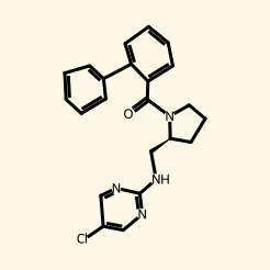 O=C(c1ccccc1-c1ccccc1)N1CCC[C@H]1CNc1ncc(Cl)cn1